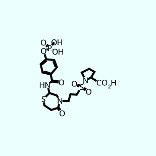 O=C(NC1CN(CCCS(=O)(=O)N2CCCC2C(=O)O)C(=O)CCS1)c1ccc(OP(=O)(O)O)cc1